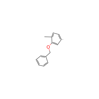 Cc1cc[c]cc1OCc1ccccc1